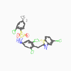 O=S(=O)(Nc1cc(Cl)c(Cc2nc3cc(Cl)ccc3s2)c(Cl)c1)c1ccc(C(F)(F)F)cc1Cl